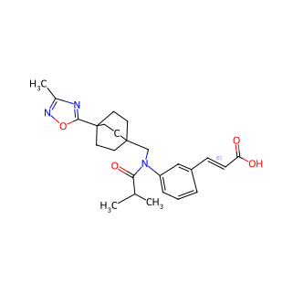 Cc1noc(C23CCC(CN(C(=O)C(C)C)c4cccc(/C=C/C(=O)O)c4)(CC2)CC3)n1